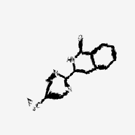 O=c1[nH]c(-c2ncc(C(F)(F)F)cn2)cc2ccccc12